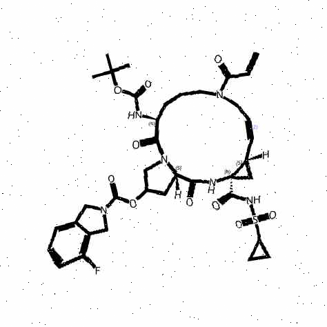 C=CC(=O)N1C/C=C\[C@@H]2C[C@@]2(C(=O)NS(=O)(=O)C2CC2)NC(=O)[C@@H]2CC(OC(=O)N3Cc4cccc(F)c4C3)CN2C(=O)[C@@H](NC(=O)OC(C)(C)C)CCC1